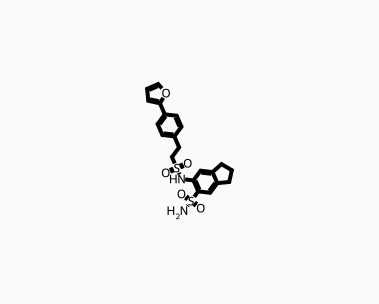 NS(=O)(=O)c1cc2c(cc1NS(=O)(=O)CCc1ccc(-c3ccco3)cc1)CCC2